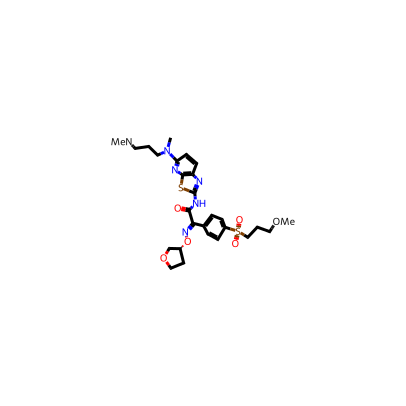 CNCCCN(C)c1ccc2nc(NC(=O)/C(=N/O[C@@H]3CCOC3)c3ccc(S(=O)(=O)CCCOC)cc3)sc2n1